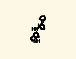 c1cc(Nc2ccc3[nH]ccc3c2)nc(N2CCCC2)c1